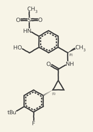 C[C@@H](NC(=O)C1C[C@@H]1c1ccc(C(C)(C)C)c(F)c1)c1ccc(NS(C)(=O)=O)c(CO)c1